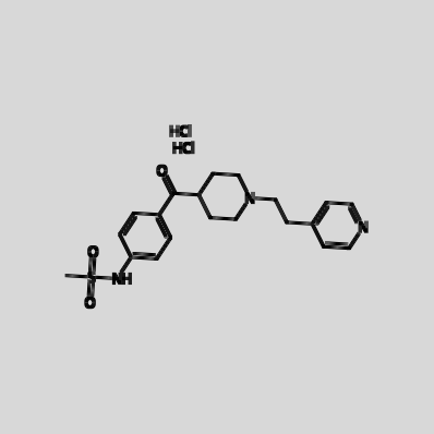 CS(=O)(=O)Nc1ccc(C(=O)C2CCN(CCc3ccncc3)CC2)cc1.Cl.Cl